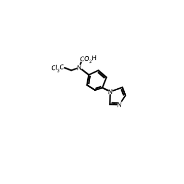 O=C(O)N(CC(Cl)(Cl)Cl)c1ccc(-n2ccnc2)cc1